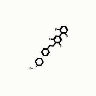 CCCCC[C@H]1CC[C@H](c2ccc(CCc3c(F)cc(-c4c(F)cccc4F)cc3F)cc2)CC1